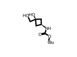 CC(C)(C)OC(=O)N[C@H]1C[C@](O)(CO)C1